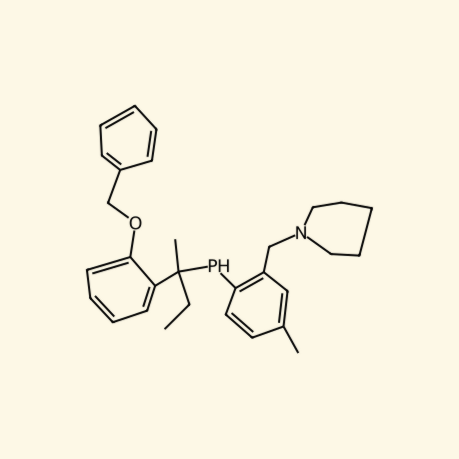 CCC(C)(Pc1ccc(C)cc1CN1CCCCC1)c1ccccc1OCc1ccccc1